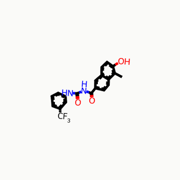 Cc1c(O)ccc2cc(C(=O)NC(=O)Nc3cccc(C(F)(F)F)c3)ccc12